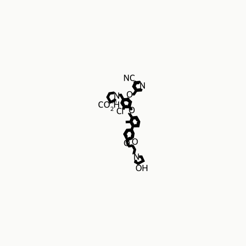 Cc1c(COc2cc(OCc3cncc(C#N)c3)c(CN3CCCC[C@H]3C(=O)O)cc2Cl)cccc1-c1ccc2c(c1)OC(CCN1CCC(O)C1)CO2